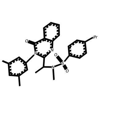 Cc1cc(C)cc(-n2c(C(C)N(C)S(=O)(=O)c3ccc(C(C)C)cc3)nc3ccccc3c2=O)c1